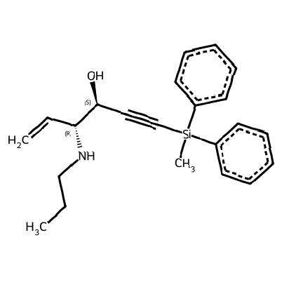 C=C[C@@H](NCCC)[C@@H](O)C#C[Si](C)(c1ccccc1)c1ccccc1